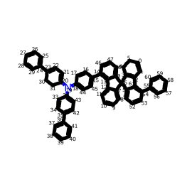 C1=CC2=C(CC1)C1(c3ccccc3-c3c(-c4ccc(N(C5=CC=C(c6ccccc6)CC5)c5ccc(-c6ccccc6)cc5)cc4)cccc31)c1cccc(-c3ccccc3)c12